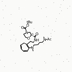 CC(=O)N(C)CCCCN(C)C1=C(CCNC(=O)[C@@H]2CN(C(=O)OC(C)(C)C)CCO2)CC=CC=C1